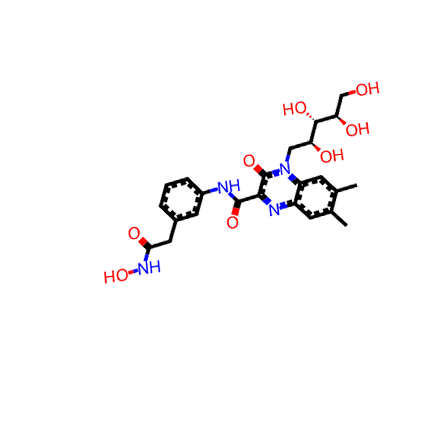 Cc1cc2nc(C(=O)Nc3cccc(CC(=O)NO)c3)c(=O)n(C[C@H](O)[C@H](O)[C@H](O)CO)c2cc1C